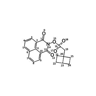 O=C1c2cccc3cccc(c23)C(=O)N1OS(=O)(=O)CC12CCC1CC2